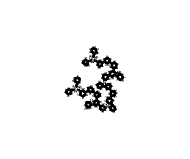 c1ccc(-c2nc(-c3ccccc3)nc(-c3cccc(-c4cccc(-c5cccc(-c6cc(-c7cccc(-n8c9ccccc9c9cc(-c%10cccc(-c%11ccc%12c(c%11)c%11ccccc%11n%12-c%11cccc(-c%12cc(-c%13cccc(-c%14cccc(-c%15cccc(-c%16nc(-c%17ccccc%17)nc(-c%17ccccc%17)n%16)c%15)c%14)c%13)c%13oc%14ccccc%14c%13c%12)c%11)c%10)ccc98)c7)cc7c6oc6ccccc67)c5)c4)c3)n2)cc1